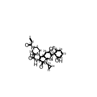 C=CC(=O)N1CCN2c3c(c(=O)n(C4CC4)c4nc(-c5c(O)cccc5F)c(Cl)cc34)NC(=O)[C@H]2C1